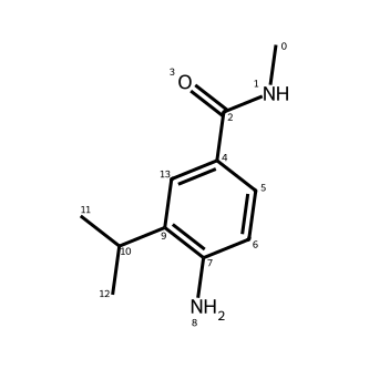 CNC(=O)c1ccc(N)c(C(C)C)c1